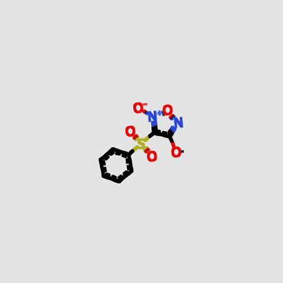 [O]c1no[n+]([O-])c1S(=O)(=O)c1ccccc1